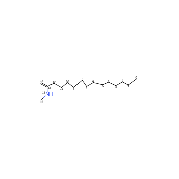 [CH2]CCCCCCCCCCCCC(=C)NC